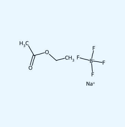 CCOC(C)=O.F[B-](F)(F)F.[Na+]